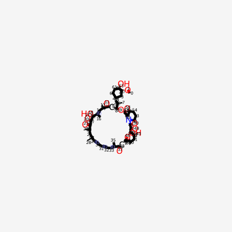 CO[C@@H]1C[C@H](C[C@@H](C)[C@@H]2CC(=O)[C@H](C)/C=C(\C)[C@@H](O)[C@@H](OC)C(=O)[C@H](C)C[C@H](C)/C=C/C=C/C=C(\C)C(=O)C[C@@H]3CC[C@@H](C)[C@@](O)(O3)C(=O)C(=O)N3CCCC[C@H]3C(=O)O2)CC[C@@H]1O